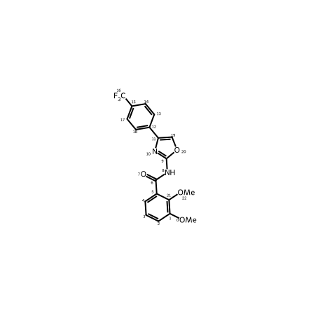 COc1cccc(C(=O)Nc2nc(-c3ccc(C(F)(F)F)cc3)co2)c1OC